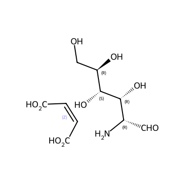 N[C@@H](C=O)[C@@H](O)[C@H](O)[C@H](O)CO.O=C(O)/C=C\C(=O)O